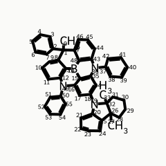 CC1(c2ccccc2)c2cccc3c2B2c4c(cc(N5c6ccccc6C6(C)CCCCC56C)cc4N(c4ccccc4)c4cccc1c42)N3c1ccccc1